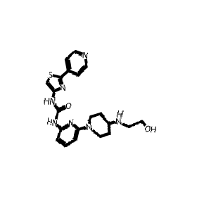 O=C(Nc1cccc(N2CCC(NCCO)CC2)n1)Nc1csc(-c2ccncc2)n1